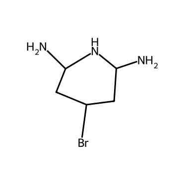 NC1CC(Br)CC(N)N1